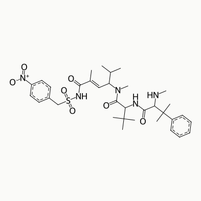 CNC(C(=O)NC(C(=O)N(C)C(C=C(C)C(=O)NS(=O)(=O)Cc1ccc([N+](=O)[O-])cc1)C(C)C)C(C)(C)C)C(C)(C)c1ccccc1